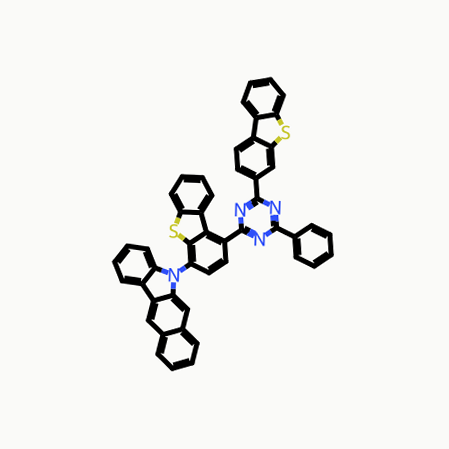 c1ccc(-c2nc(-c3ccc4c(c3)sc3ccccc34)nc(-c3ccc(-n4c5ccccc5c5cc6ccccc6cc54)c4sc5ccccc5c34)n2)cc1